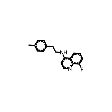 Cc1ccc(CCNc2ccnc3c(F)cccc23)cc1